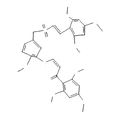 COc1cc(OC)c(/C=C/S(=O)(=O)Cc2ccc(OC)c(N/C=C\C(=O)c3c(OC)cc(OC)cc3OC)c2)c(OC)c1